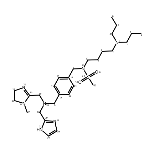 CCCN(CCC)CCCCN(Cc1ccc(CN(CC2=NCCN2C)Cc2ncc[nH]2)cc1)S(C)(=O)=O